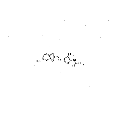 CC(=O)Nc1ccc(OCc2nc3ccc(C)cc3o2)cc1C